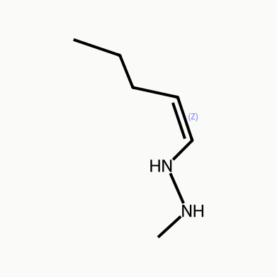 CCC/C=C\NNC